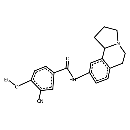 CCOc1ccc(C(=O)Nc2ccc3c(c2)C2CCCN2CC3)cc1C#N